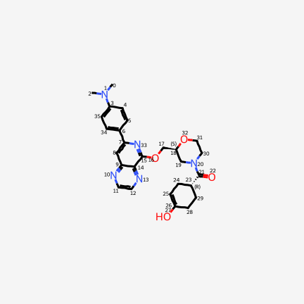 CN(C)c1ccc(-c2cc3nccnc3c(OC[C@@H]3CN(C(=O)[C@H]4CC=C(O)CC4)CCO3)n2)cc1